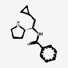 O=C(NC(CC1CC1)[C@@H]1CCCN1)c1ccccc1